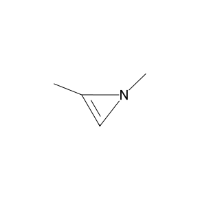 CC1=CN1C